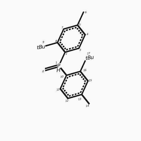 C=[PH](c1ccc(C)cc1C(C)(C)C)c1ccc(C)cc1C(C)(C)C